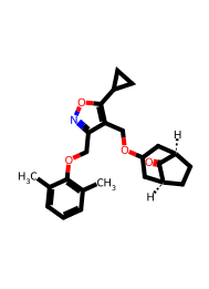 Cc1cccc(C)c1OCc1noc(C2CC2)c1COC1C[C@H]2CC[C@@H](C1)C2=O